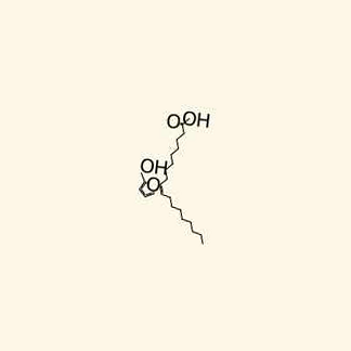 CCCCCCCC/C=C\CCCCCCCC(=O)O.OCc1ccco1